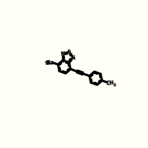 Cc1ccc(C#Cc2ccc(C(C)(C)C)c3nsnc23)cc1